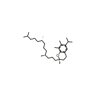 Cc1c(C(C)C)cc2c(c1C)O[C@@](C)(CCC[C@@H](C)CCC[C@@H](C)CCCC(C)C)CC2